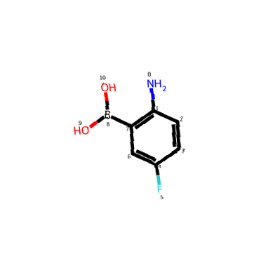 Nc1ccc(F)cc1B(O)O